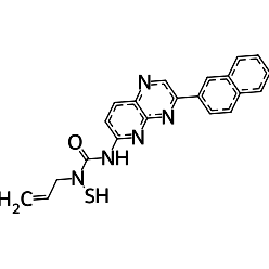 C=CCN(S)C(=O)Nc1ccc2ncc(-c3ccc4ccccc4c3)nc2n1